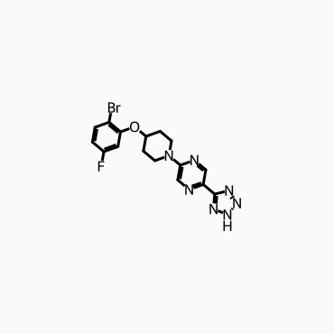 Fc1ccc(Br)c(OC2CCN(c3cnc(-c4nn[nH]n4)cn3)CC2)c1